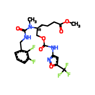 COC(=O)CCC[C@@H](COC(=O)Nc1cc(C(F)(F)F)on1)N(C)C(=O)NCc1cccc(F)c1F